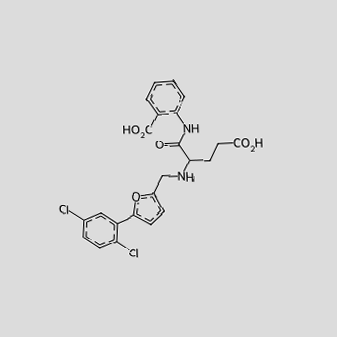 O=C(O)CCC(NCc1ccc(-c2cc(Cl)ccc2Cl)o1)C(=O)Nc1ccccc1C(=O)O